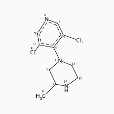 CC1CN(c2c(Cl)cncc2Cl)CCN1